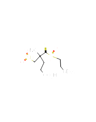 CCCCCCCCCCCCS(=O)(=O)C(=S)C(C#N)(CCC(=O)O)C[SH](=O)=O